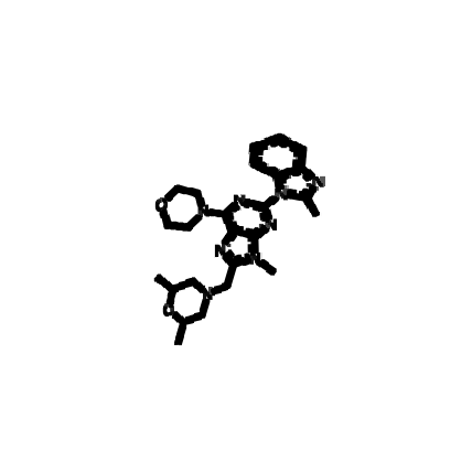 Cc1nc2ccccc2n1-c1nc(N2CCOCC2)c2nc(CN3CC(C)OC(C)C3)n(C)c2n1